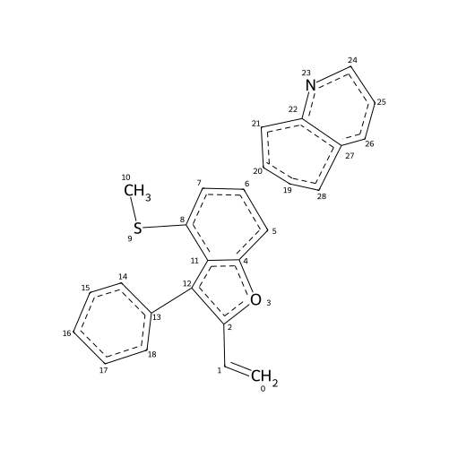 C=Cc1oc2cccc(SC)c2c1-c1ccccc1.c1ccc2ncccc2c1